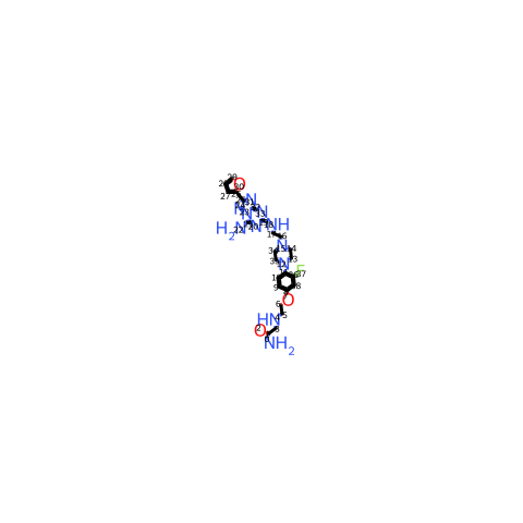 NC(=O)CNCCOc1ccc(N2CCN(CCNc3nc(N)n4nc(-c5ccco5)nc4n3)CC2)c(F)c1